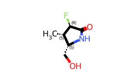 C[C@H]1[C@@H](CO)NC(=O)[C@@H]1F